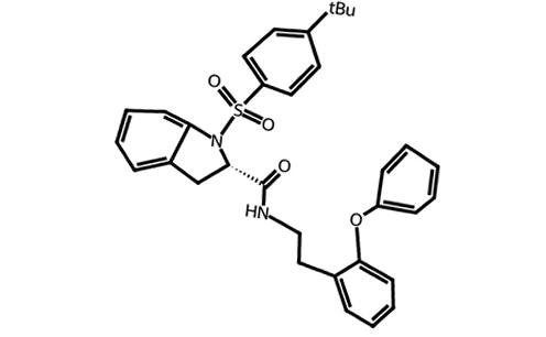 CC(C)(C)c1ccc(S(=O)(=O)N2c3ccccc3C[C@H]2C(=O)NCCc2ccccc2Oc2ccccc2)cc1